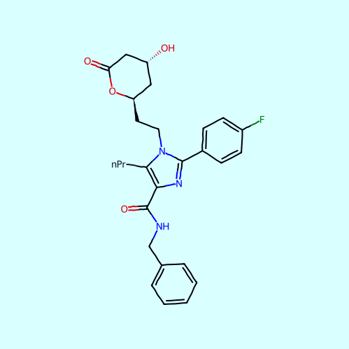 CCCc1c(C(=O)NCc2ccccc2)nc(-c2ccc(F)cc2)n1CC[C@@H]1C[C@@H](O)CC(=O)O1